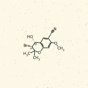 COc1cc2c(cc1C#N)[C@@H](O)[C@H](Br)C(C)(C)O2